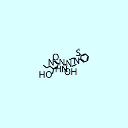 CCc1nc(OC)c(N=C(NO)N2CCN(c3ccccc3SC)CC2)cc1CO